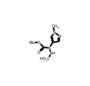 Cn1cc(N(NC(=O)O)C(=O)OC(C)(C)C)cn1